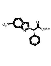 COC(=O)[C@@H](c1ccccc1)n1cc2ccc([N+](=O)[O-])cc2n1